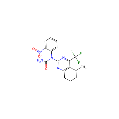 CC1CCCc2nc(N(C(N)=O)c3ccccc3[N+](=O)[O-])nc(C(F)(F)F)c21